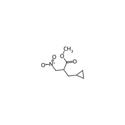 COC(=O)C(CC1CC1)C[N+](=O)[O-]